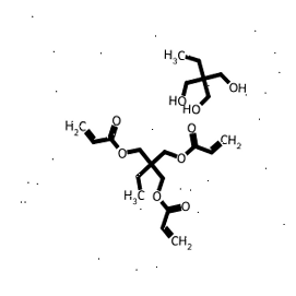 C=CC(=O)OCC(CC)(COC(=O)C=C)COC(=O)C=C.CCC(CO)(CO)CO